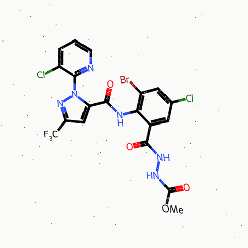 COC(=O)NNC(=O)c1cc(Cl)cc(Br)c1NC(=O)c1cc(C(F)(F)F)nn1-c1ncccc1Cl